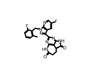 Cc1cccc(F)c1Cn1nc(-c2nc3c4c(n2)NC(=O)C4(C)CCC(=O)N3)c2cc(F)cnc21